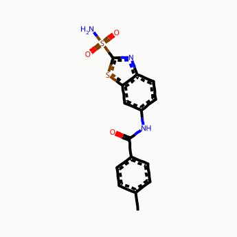 Cc1ccc(C(=O)Nc2ccc3nc(S(N)(=O)=O)sc3c2)cc1